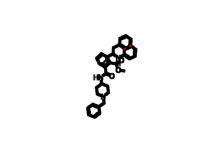 COC(=O)C1=C(C(=O)NC2CCN(Cc3ccccc3)CC2)C2C=CC1(C(Cc1ccccc1)Nc1ccccc1)O2